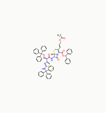 CC(=O)OC/C=C/C1=C(C(=O)OC(c2ccccc2)c2ccccc2)N2C(=O)C(NC(=O)/C(=N\OC(c3ccccc3)(c3ccccc3)c3ccccc3)c3csc(NC(c4ccccc4)(c4ccccc4)c4ccccc4)n3)[C@@H]2SC1